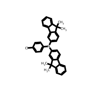 CC1(C)c2ccccc2-c2cc(N(c3ccc(Cl)cc3)c3ccc4c(c3)C(C)(C)c3ccccc3-4)ccc21